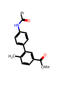 COC(=O)c1ccc(C)c(-c2ccc(NC(=O)C(C)C)cc2)c1